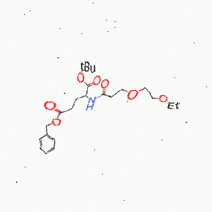 CCOCCOCCC(=O)NC(CCC(=O)OCc1ccccc1)C(=O)OC(C)(C)C